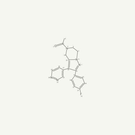 CC(=O)N1CCn2nc(-c3ccc(F)cc3)c(-c3ccnnc3)c2C1